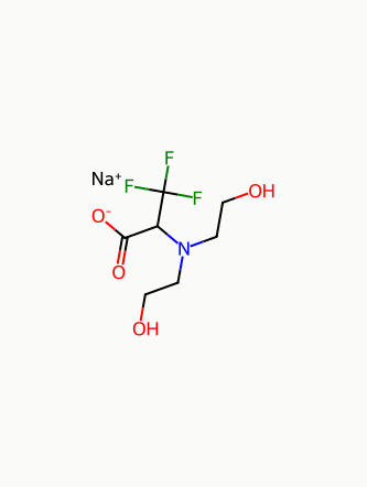 O=C([O-])C(N(CCO)CCO)C(F)(F)F.[Na+]